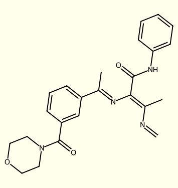 C=N/C(C)=C(\N=C(/C)c1cccc(C(=O)N2CCOCC2)c1)C(=O)Nc1ccccc1